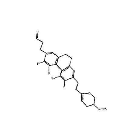 C=CCCc1cc2c(c(F)c1F)-c1c(cc(CCC3=CCC(CCCCC)CO3)c(F)c1F)CC2